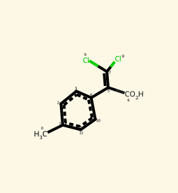 Cc1ccc(C(C(=O)O)=C(Cl)Cl)cc1